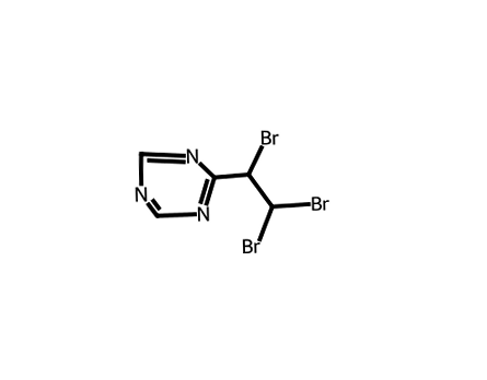 BrC(Br)C(Br)c1ncncn1